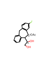 CC(=O)O[C@H]1c2cc(F)ccc2Cc2ccccc2C1[C@@H](O)CO